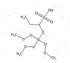 CCC(O[Si](OOC)(OOC)OOC)S(=O)(=O)O